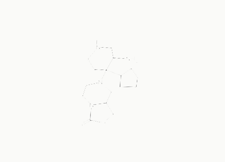 NC1CNCCC1(C1CCCC1)N1CCN2C(=O)OCC2C1